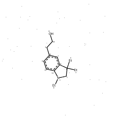 CCN1CC(CC)(CC)c2cc(CCO)ccc21